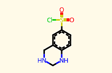 O=S(=O)(Cl)c1ccc2c(c1)CNCN2